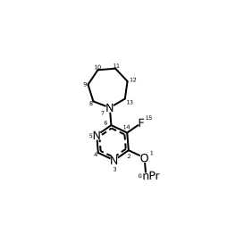 CCCOc1ncnc(N2CCCCCC2)c1F